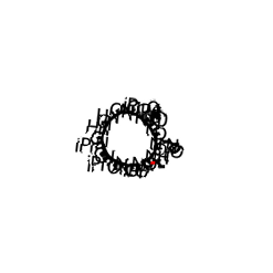 C/C=C/C[C@@H](C)[C@@H](OC(C)=O)[C@H]1C(=O)N[C@@H](CC)C(=O)N(C)[C@H](CCCN2CCOCC2)C(=O)N(C)C([C@H](C)CS(C)(=O)=O)C(=O)N[C@@H](C(C)C)C(=O)N(C)[C@@H](CC(C)C)C(=O)N[C@@H](C)C(=O)N[C@H](C)C(=O)N(C)[C@@H](CC(C)C)C(=O)N(C)[C@@H](CC(C)C)C(=O)N(C)[C@@H](C(C)C)C(=O)N1C